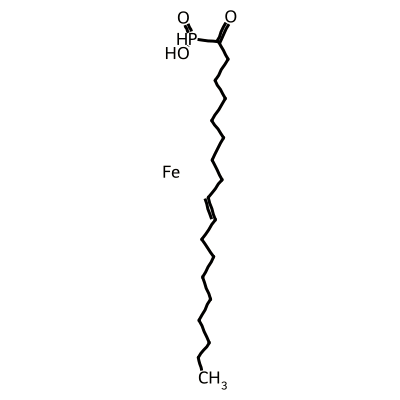 CCCCCCCCC=CCCCCCCCC(=O)[PH](=O)O.[Fe]